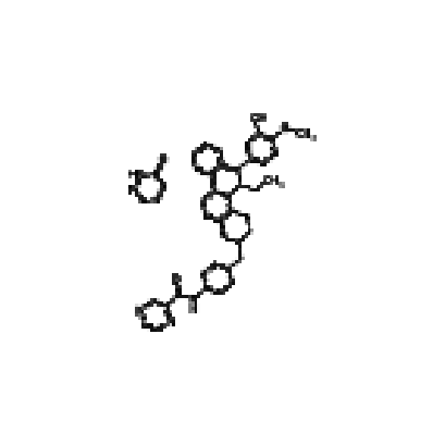 CCC1C(c2ccc(OC)c(O)c2)=c2ccccc2=c2ccc3c(c21)CCC(Cc1ccc(NC(=O)c2cnccn2)cc1)C=3.O=c1cccn[nH]1